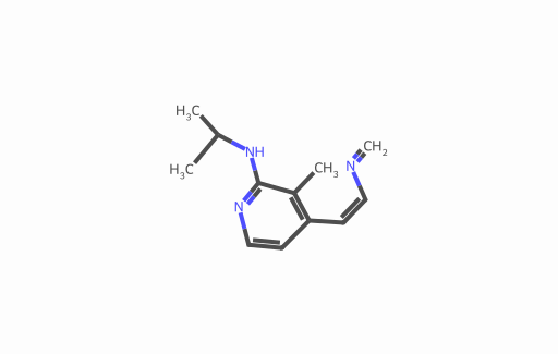 C=N/C=C\c1ccnc(NC(C)C)c1C